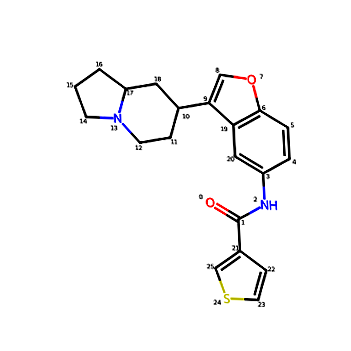 O=C(Nc1ccc2occ(C3CCN4CCCC4C3)c2c1)c1ccsc1